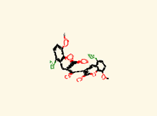 COc1ccc(Br)c2cc(C(=O)c3cc4c(Br)ccc(OC)c4oc3=O)c(=O)oc12